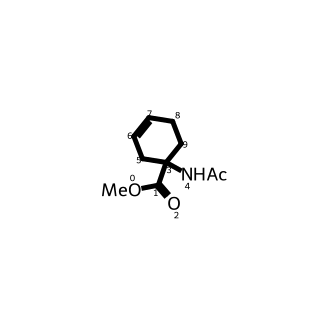 COC(=O)C1(NC(C)=O)CC=CCC1